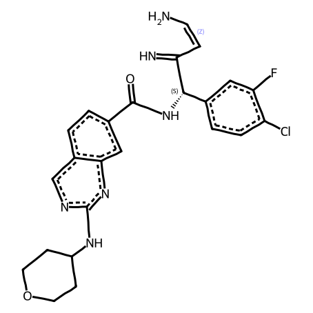 N=C(/C=C\N)[C@@H](NC(=O)c1ccc2cnc(NC3CCOCC3)nc2c1)c1ccc(Cl)c(F)c1